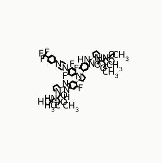 COC(=O)NC(C(=O)N1CCC[C@H]1c1nc2cc([C@H]3CC[C@H](c4cc5nc([C@@H]6CCCN6C(=O)C(NC(=O)O)C(C)OC)[nH]c5cc4F)N3c3cc(F)c(N4CCN(c5ccc(C(F)(F)F)cc5)CC4)c(F)c3)c(F)cc2[nH]1)C(C)OC